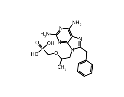 CC(Cn1c(Cc2ccccc2)nc2c(N)nc(N)nc21)OCP(=O)(O)O